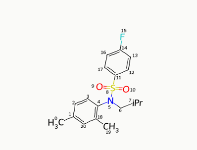 Cc1ccc(N(CC(C)C)S(=O)(=O)c2ccc(F)cc2)c(C)c1